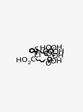 O=C(O)CCC/C=C\C[C@H]1C(=O)C(O)C[C@@H]1/C=C/C(CCc1sc2ccccc2c1Cl)OC1O[C@H](CO)[C@@H](O)[C@H](O)[C@H]1O